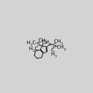 C[C]1([Ti]([CH3])([CH3])[CH3])C(C[Si](C)(C)C)=CC2=C1CCCC2